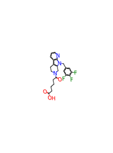 O=C(O)CCCCC(=O)N1CCc2c(n(Cc3cc(F)c(F)c(F)c3)c3ncccc23)C1